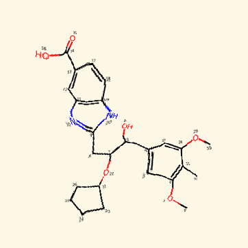 COc1cc(C(O)C(Cc2nc3cc(C(=O)O)ccc3[nH]2)OC2CCCC2)cc(OC)c1C